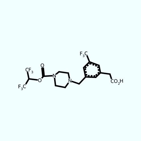 O=C(O)Cc1cc(CN2CCN(C(=O)OC(C(F)(F)F)C(F)(F)F)CC2)cc(C(F)(F)F)c1